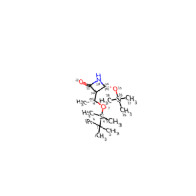 CC(C)C(C)(C)[Si](C)(C)O[C@H](C)C1C(=O)N[C@@H]1O[Si](C)(C)C